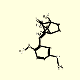 COc1ccc(OC)c(C=C2C(=O)C3(C)CCC2C3(C)C)c1